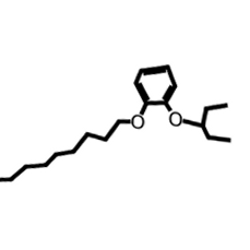 CCCCCCCCCOc1ccccc1OC(CC)CC